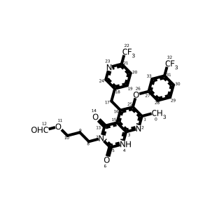 Cc1nc2[nH]c(=O)n(CCCOC=O)c(=O)c2c(Cc2ccc(C(F)(F)F)nc2)c1Oc1cccc(C(F)(F)F)c1